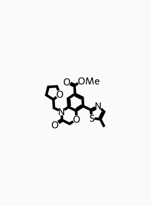 COC(=O)c1cc(-c2ncc(C)s2)c2c(c1)N(CC1CCCO1)C(=O)CO2